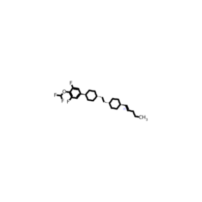 CCC/C=C/[C@H]1CC[C@H](CC[C@H]2CC[C@H](c3cc(F)c(OC(F)F)c(F)c3)CC2)CC1